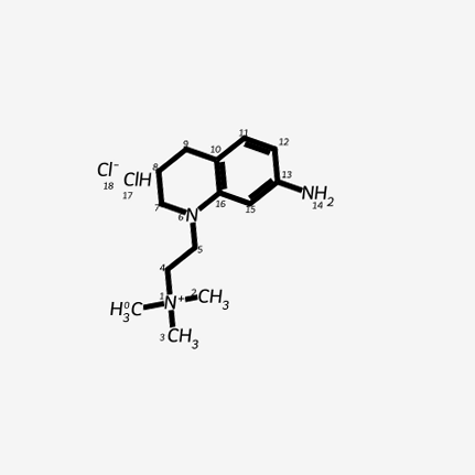 C[N+](C)(C)CCN1CCCc2ccc(N)cc21.Cl.[Cl-]